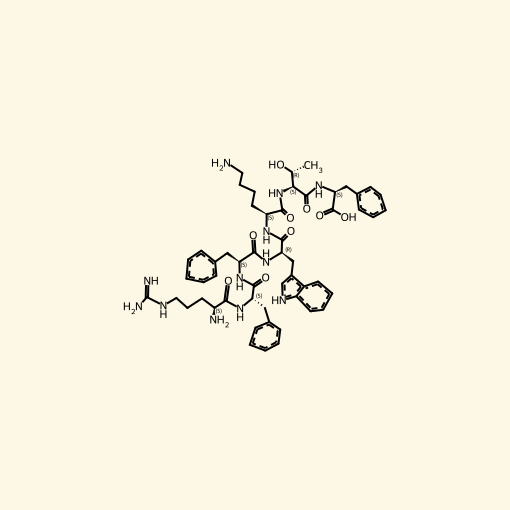 C[C@@H](O)[C@H](NC(=O)[C@H](CCCCN)NC(=O)[C@@H](Cc1c[nH]c2ccccc12)NC(=O)[C@H](Cc1ccccc1)NC(=O)[C@H](Cc1ccccc1)NC(=O)[C@@H](N)CCCNC(=N)N)C(=O)N[C@@H](Cc1ccccc1)C(=O)O